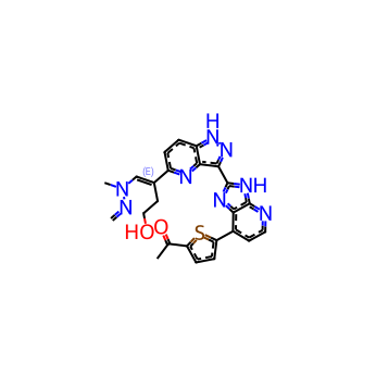 C=NN(C)/C=C(\CCO)c1ccc2[nH]nc(-c3nc4c(-c5ccc(C(C)=O)s5)ccnc4[nH]3)c2n1